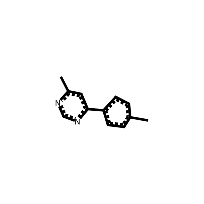 Cc1ccc(-c2cc(C)ncn2)cc1